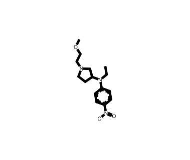 CCN(c1ccc([N+](=O)[O-])cc1)C1CCN(CCOC)C1